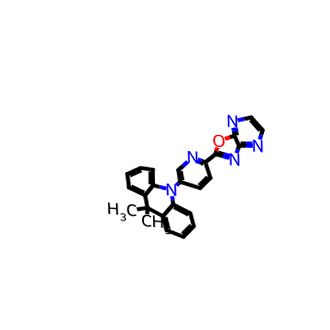 CC1(C)c2ccccc2N(c2ccc(-c3nc4nccnc4o3)nc2)c2ccccc21